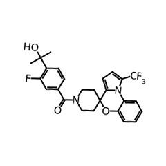 CC(C)(O)c1ccc(C(=O)N2CCC3(CC2)Oc2ccccc2-n2c(C(F)(F)F)ccc23)cc1F